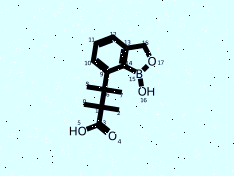 CC(C)(C(=O)O)C(C)(C)c1cccc2c1B(O)OC2